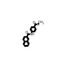 COC(=O)c1ccc(NC(=O)c2ccc3ccccc3c2)cc1